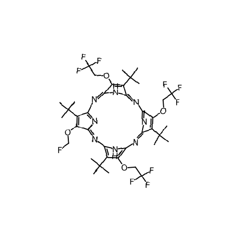 CC(C)(C)C1=C(OCF)c2nc1nc1[nH]c(nc3nc(nc4[nH]c(n2)c(C(C)(C)C)c4OCC(F)(F)F)C(C(C)(C)C)=C3OCC(F)(F)F)c(C(C)(C)C)c1OCC(F)(F)F